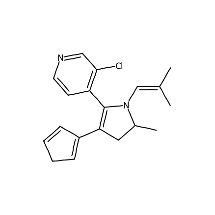 CC(C)=CN1C(c2ccncc2Cl)=C(C2=CCC=C2)CC1C